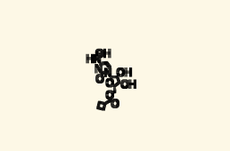 O=C(OC[C@H]1O[C@@H](n2ccc(NO)nc2=O)[C@H](O)[C@@H]1O)C1CCC1